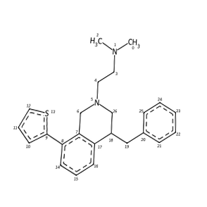 CN(C)CCN1Cc2c(-c3cccs3)cccc2C(Cc2ccccc2)C1